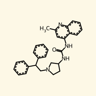 Cc1cc(NC(=O)NC2CCN(CC(c3ccccc3)c3ccccc3)C2)c2ccccc2n1